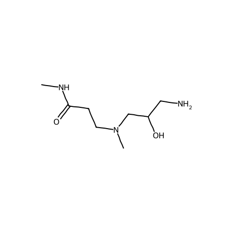 CNC(=O)CCN(C)CC(O)CN